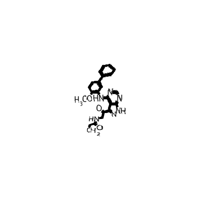 C=CC(=O)NCC(=O)c1n[nH]c2ncnc(Nc3cc(-c4ccccc4)ccc3OC)c12